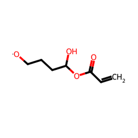 C=CC(=O)OC(O)CCC[O]